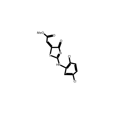 COC(=O)C=C1SC(Nc2cc(Cl)ccc2Cl)=NC1=O